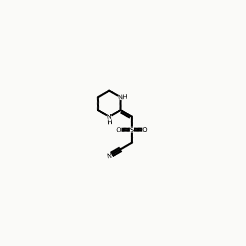 N#CCS(=O)(=O)C=C1NCCCN1